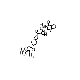 Cc1c(C(=O)N2CC3(CCN(C(=O)OC(C)(C)C)CC3)C2)cnn1-c1nc2c(c(=O)[nH]1)CCC2